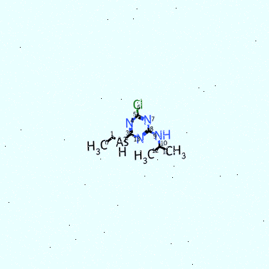 CC[AsH]c1nc(Cl)nc(NC(C)C)n1